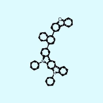 c1ccc(-n2c3ccccc3c3cc4c5cc(-c6ccc(-c7ccc8oc9ccccc9c8c7)c7ccccc67)ccc5n(-c5ccccc5)c4cc32)cc1